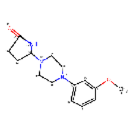 COc1cccc(N2CCN(C3CCC(=O)N3)CC2)c1